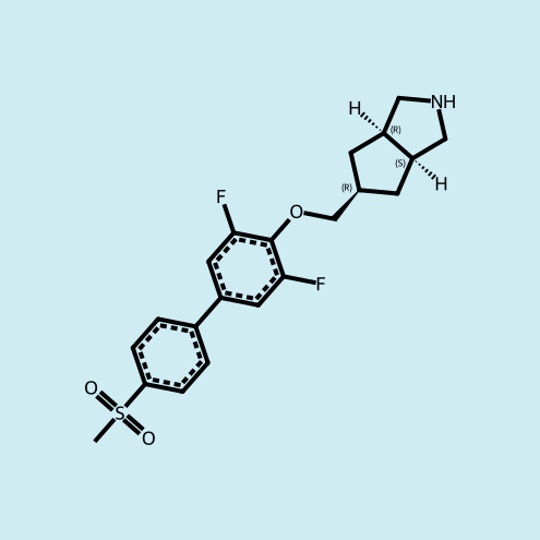 CS(=O)(=O)c1ccc(-c2cc(F)c(OC[C@H]3C[C@H]4CNC[C@H]4C3)c(F)c2)cc1